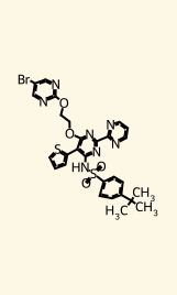 CC(C)(C)c1ccc(S(=O)(=O)Nc2nc(-c3ncccn3)nc(OCCOc3ncc(Br)cn3)c2-c2cccs2)cc1